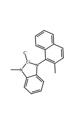 [CH2-][c+]1n(C)c2ccccc2n1-c1c(C)ccc2ccccc12